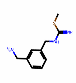 CSC(=N)NCc1cccc(CN)c1